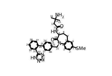 CSc1ccc2c(c1)CCC(NC(=O)CC(C)(C)N)C(=O)N2Cc1ccc(-c2ccccc2-c2nnn[nH]2)cc1